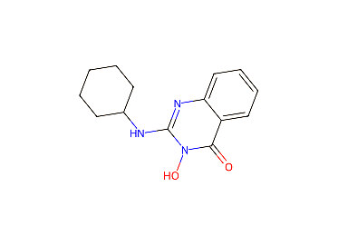 O=c1c2ccccc2nc(NC2CCCCC2)n1O